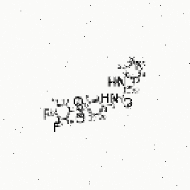 O=C(NCc1ccc(S(=O)(=O)c2ccc(F)c(F)c2)cc1)c1cc2cnccc2[nH]1